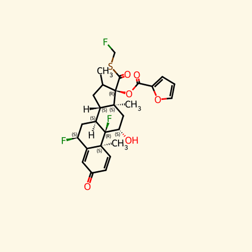 CC1C[C@H]2[C@@H]3C[C@H](F)C4=CC(=O)C=C[C@]4(C)[C@@]3(F)[C@@H](O)C[C@]2(C)[C@@]1(OC(=O)c1ccco1)C(=O)SCF